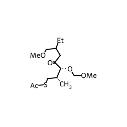 CCC(COC)CC(=O)[C@H](OCOC)[C@H](C)CSC(C)=O